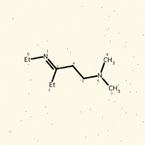 CC/N=C(\CC)CCN(C)C